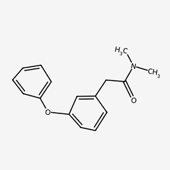 CN(C)C(=O)Cc1cccc(Oc2ccccc2)c1